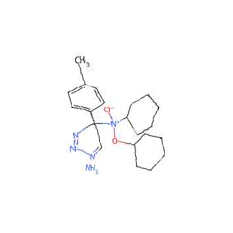 Cc1ccc(C2([N+]([O-])(OC3CCCCC3)C3CCCCC3)C=NN=N2)cc1.N